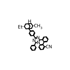 CC[C@@H]1C[C@@H]2C[C@H](C)CC(c3ccc(-c4nc(-c5ccccc5)nc(-c5ccccc5-c5ccccc5C#N)n4)cc3)(C1)C2